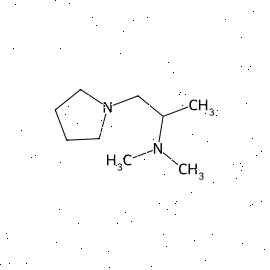 CC(CN1CCCC1)N(C)C